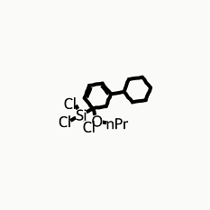 CCCOC1([Si](Cl)(Cl)Cl)C=CC=C(C2CCCCC2)C1